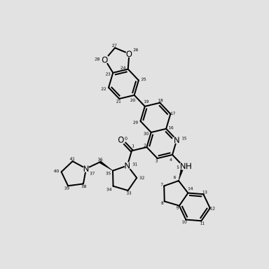 O=C(c1cc(N[C@@H]2CCc3ccccc32)nc2ccc(-c3ccc4c(c3)OCO4)cc12)N1CCC[C@H]1CN1CCCC1